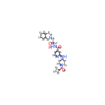 O=C(NC[C@H](O)CN1CCc2ccccc2C1)c1ccnc(NC2CCN(C(=O)C3CCC3)CC2)c1